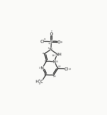 CC1=NC2=CN(S(=O)(=O)Cl)NN2C(Cl)=C1